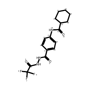 O=C(NNC(=O)C(F)(F)F)c1ccc(NC(=O)C2CCCCC2)cc1